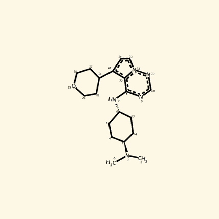 CN(C)[C@H]1CC[C@H](Nc2ncnn3ccc(C4CCOCC4)c23)CC1